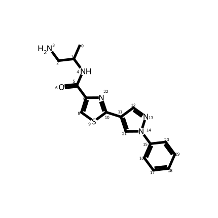 CC(CN)NC(=O)c1csc(-c2cnn(-c3ccccc3)c2)n1